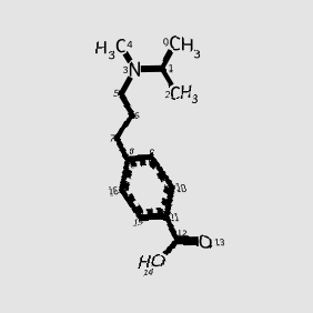 CC(C)N(C)CCCc1ccc(C(=O)O)cc1